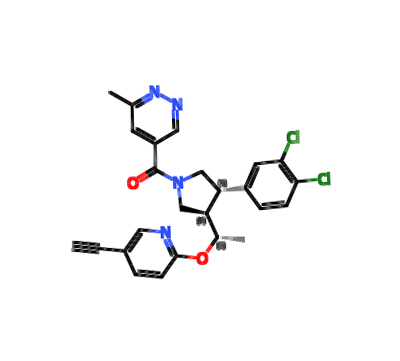 C#Cc1ccc(O[C@@H](C)[C@H]2CN(C(=O)c3cnnc(C)c3)C[C@@H]2c2ccc(Cl)c(Cl)c2)nc1